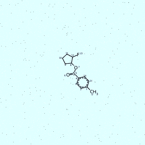 Cc1ccc(S(=O)OC2CCCC2F)cc1